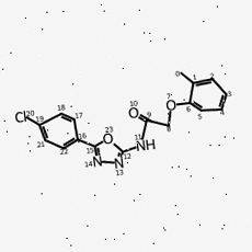 Cc1ccccc1OCC(=O)Nc1nnc(-c2ccc(Cl)cc2)o1